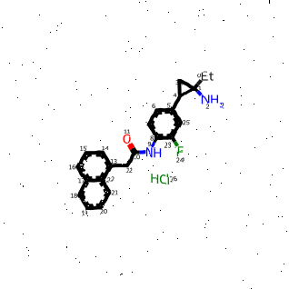 CCC1(N)CC1c1ccc(NC(=O)Cc2cccc3ccccc23)c(F)c1.Cl